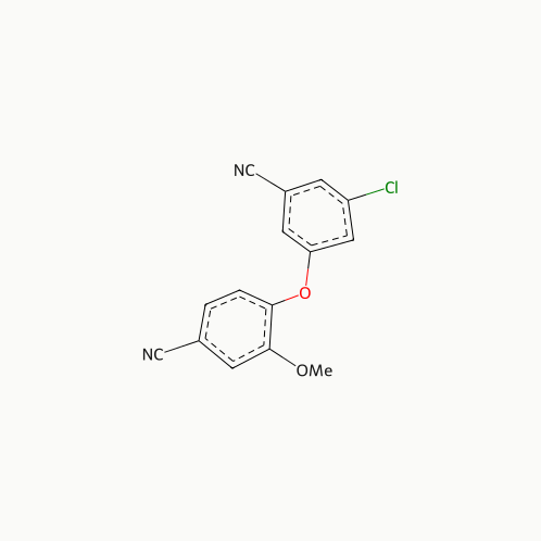 COc1cc(C#N)ccc1Oc1cc(Cl)cc(C#N)c1